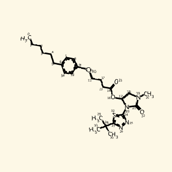 CCCCCCc1ccc(OCCCC(=O)OC2CN(C)C(=O)N2c2nnc(C(C)(C)C)s2)cc1